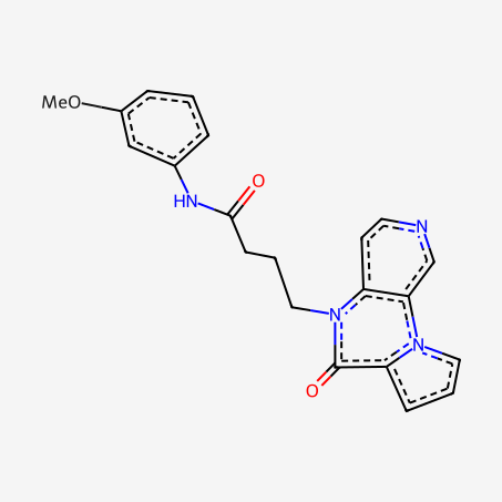 COc1cccc(NC(=O)CCCn2c(=O)c3cccn3c3cnccc32)c1